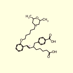 CC1CN(CCCCCOc2ccccc2/C=C/C(CCCCC(=O)O)Cc2ccc(C(=O)O)cc2)CC(C)O1